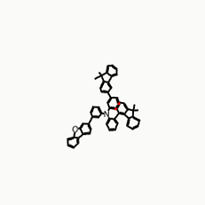 CC1(C)c2ccccc2-c2cc(-c3cccc(N(c4cccc(-c5ccc6c(c5)oc5ccccc56)c4)c4ccccc4-c4cccc5c4-c4ccccc4C5(C)C)c3)ccc21